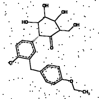 CCOc1ccc(Cc2cc([C@H]3C(=O)C(CO)C(O)C(O)C3O)ccc2Cl)cc1